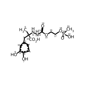 C[C@@](Cc1ccc(O)c(O)c1)(NNC(=O)OCCOP(C)(=O)O)C(=O)O